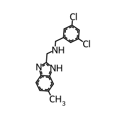 Cc1ccc2nc(CNCc3cc(Cl)cc(Cl)c3)[nH]c2c1